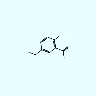 CCCCC(=N)c1cc(CN)ccc1C(=O)O